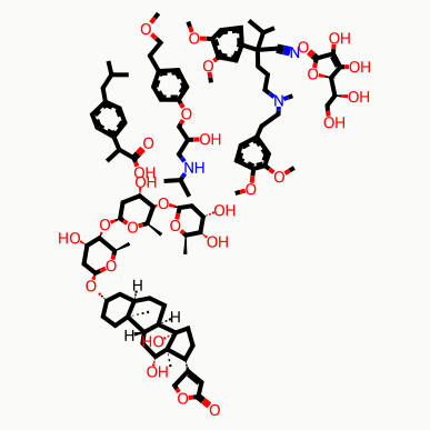 CC(C)Cc1ccc(C(C)C(=O)O)cc1.COCCc1ccc(OCC(O)CNC(C)C)cc1.COc1ccc(CCN(C)CCCC(C#N)(c2ccc(OC)c(OC)c2)C(C)C)cc1OC.C[C@H]1O[C@@H](O[C@H]2[C@@H](O)C[C@H](O[C@H]3[C@@H](O)C[C@H](O[C@H]4CC[C@@]5(C)[C@H](CC[C@@H]6[C@@H]5C[C@@H](O)[C@]5(C)[C@@H](C7=CC(=O)OC7)CC[C@]65O)C4)O[C@@H]3C)O[C@@H]2C)C[C@H](O)[C@@H]1O.O=C1O[C@H]([C@@H](O)CO)C(O)=C1O